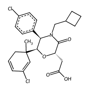 CC1([C@@H]2O[C@@H](CC(=O)O)C(=O)N(CC3CCC3)[C@@H]2c2ccc(Cl)cc2)C=C(Cl)C=CC1